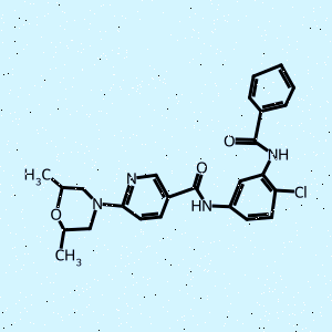 CC1CN(c2ccc(C(=O)Nc3ccc(Cl)c(NC(=O)c4ccccc4)c3)cn2)CC(C)O1